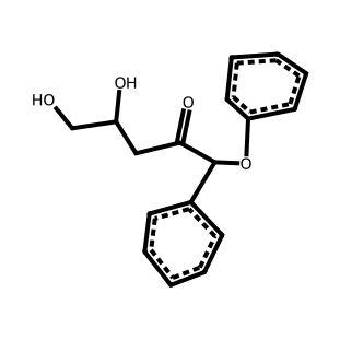 O=C(CC(O)CO)C(Oc1ccccc1)c1ccccc1